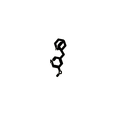 COc1cncc(CC2=CC3CCN2CC3)c1